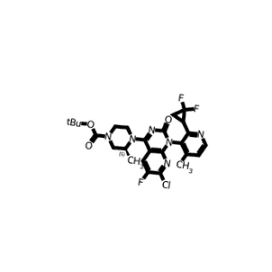 Cc1ccnc(C2CC2(F)F)c1-n1c(=O)nc(N2CCN(C(=O)OC(C)(C)C)C[C@@H]2C)c2cc(F)c(Cl)nc21